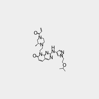 C=CC(=O)N1CCN(CCn2c(=O)ccc3cnc(Nc4cnn(CCOC(C)C)c4)nc32)[C@@H](C)C1